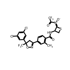 Cc1cc(C2=NOC(c3cc(Cl)cc(Cl)c3)(C(F)(F)F)C2)ccc1C(=O)NC1CS/C1=[N+](\[O-])C(=O)C(F)(F)F